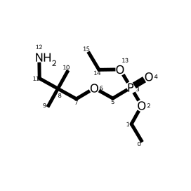 CCOP(=O)(COCC(C)(C)CN)OCC